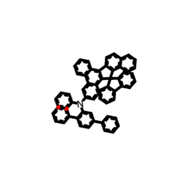 c1ccc(-c2ccc(-c3ccccc3)c(N(c3ccccc3)c3ccc4c5c(c6ccccc6c4c3)-c3ccc4ccccc4c3C53c4ccccc4-c4ccccc43)c2)cc1